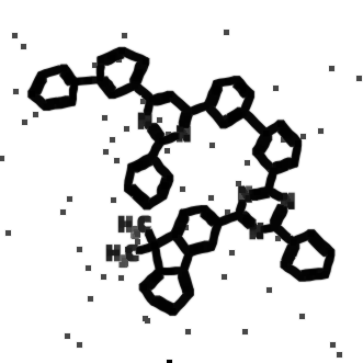 CC1(C)c2ccccc2-c2cc(-c3nc(-c4ccccc4)nc(-c4cccc(-c5cccc(-c6cc(-c7cccc(-c8ccccc8)c7)nc(-c7ccccc7)n6)c5)c4)n3)ccc21